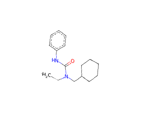 [CH2]CN(CC1CCCCC1)C(=O)Nc1ccccc1